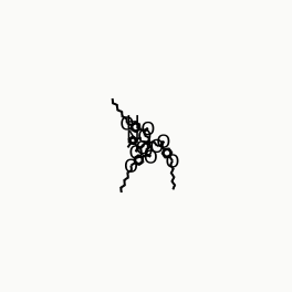 CCCCCCCOc1ccc(C(=O)OCC(COC(=O)c2ccc(OCCCCCCC)cc2)(COC(=O)c2ccc(OCCCCCCC)cc2)COC(=O)c2c(C)c[nH]c2C)cc1